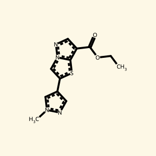 CCOC(=O)c1cnn2cc(-c3cnn(C)c3)sc12